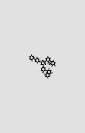 c1ccc(-c2ccc(-c3cc(-c4cccc(-c5cccc6cccnc56)c4)nc(-c4cccc5c4oc4ccccc45)n3)cc2)cc1